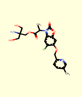 Cc1ccc(COc2cc3oc(=O)n(C(C)C(=O)OCC(N)(CO)CO)c3cc2Cl)nc1